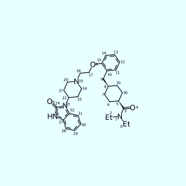 CCN(CC)C(=O)[C@H]1CC[C@@H](Cc2ccccc2OCCN2CCC(n3c(=O)[nH]c4ccccc43)CC2)CC1